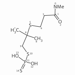 CNC(=O)CCSC(C)(C)CSP(O)(O)=S